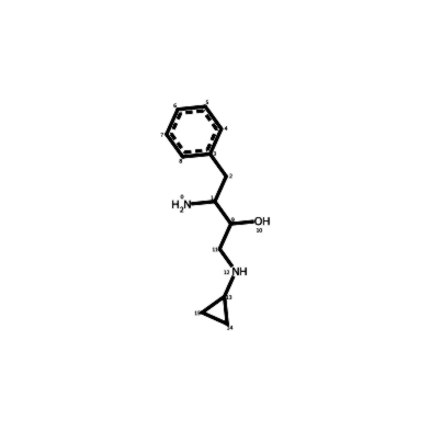 NC(Cc1ccccc1)C(O)CNC1CC1